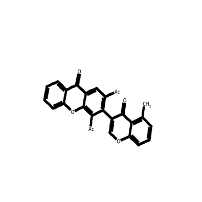 CC(=O)c1cc2c(=O)c3ccccc3oc2c(C(C)=O)c1-c1coc2cccc(C)c2c1=O